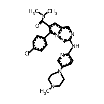 CN1CCN(c2ccc(Nc3ncc4cc(C(=O)N(C)C)c(-c5ccc(Cl)cc5)n4n3)nc2)CC1